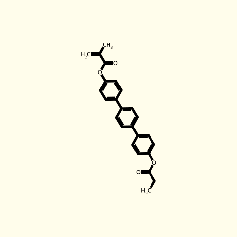 C=C(C)C(=O)Oc1ccc(-c2ccc(-c3ccc(OC(=O)CC)cc3)cc2)cc1